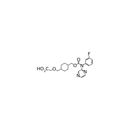 O=C(O)COCC1CCC(COC(=O)N(c2cccc(F)c2)c2cnccn2)CC1